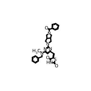 CN(Cc1ccccc1)c1cc(/C=C2/SC(=O)NC2=O)nc(N2CC3CN(C(=O)c4ccccc4)CC3C2)n1